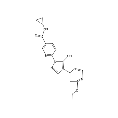 CCOc1cc(-c2cnn(-c3ccc(C(=O)NC4CC4)cn3)c2O)ccn1